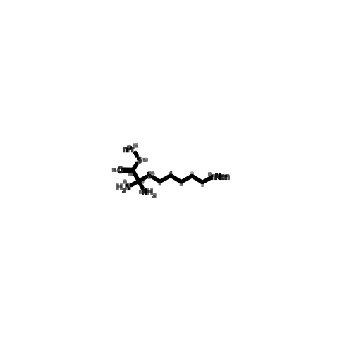 CCCCCCCCCCCCCCSC(N)(N)C(=O)SCCC